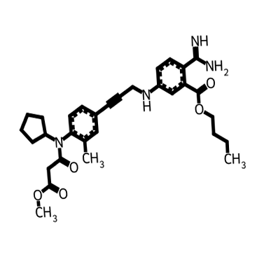 CCCCOC(=O)c1cc(NCC#Cc2ccc(N(C(=O)CC(=O)OC)C3CCCC3)c(C)c2)ccc1C(=N)N